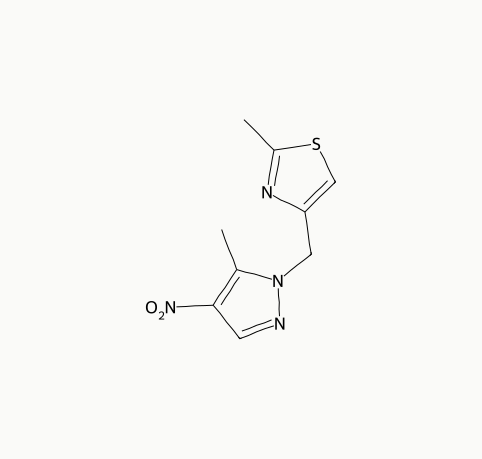 Cc1nc(Cn2ncc([N+](=O)[O-])c2C)cs1